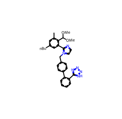 CCCCc1cc(C)c(C(OC)OC)c(-c2nccn2Cc2ccc(-c3ccccc3-c3nnn[nH]3)cc2)c1